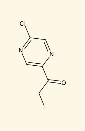 O=C(CI)c1cnc(Cl)cn1